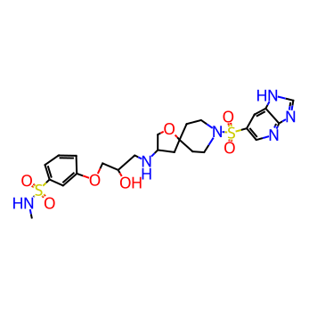 CNS(=O)(=O)c1cccc(OCC(O)CNC2COC3(CCN(S(=O)(=O)c4cnc5nc[nH]c5c4)CC3)C2)c1